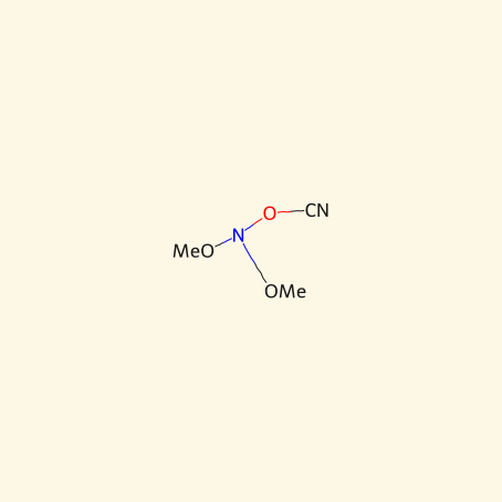 CON(OC)OC#N